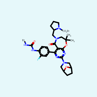 CCNC(=O)Nc1ccc(-c2nc(N3CC4CCC(C3)O4)nc3c2C(=O)N(CC2CCCN2C(=O)OCC)CC(C)(C)O3)cc1F